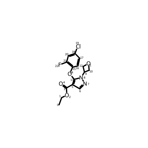 CCOC(=O)c1cnn(C2COC2)c1Oc1ccc(Cl)cc1F